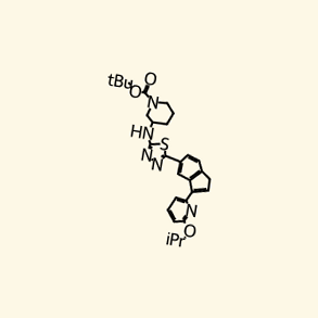 CC(C)Oc1cccc(C2=CCc3ccc(-c4nnc(NC5CCCN(C(=O)OC(C)(C)C)C5)s4)cc32)n1